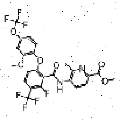 COC(=O)c1ccc(NC(=O)c2c(Oc3ccc(OC(F)(F)F)cc3OC)ccc(C(F)(F)F)c2F)c(C)n1